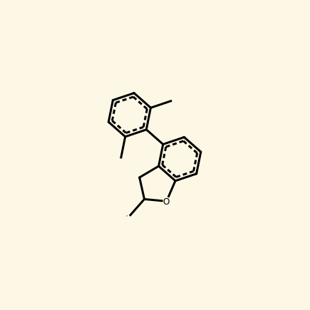 [CH2]C1Cc2c(cccc2-c2c(C)cccc2C)O1